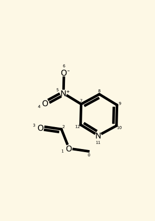 COC=O.O=[N+]([O-])c1cccnc1